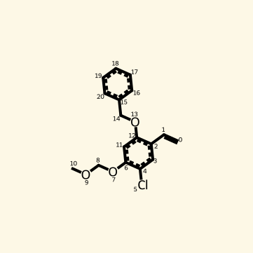 C=Cc1cc(Cl)c(OCOC)cc1OCc1ccccc1